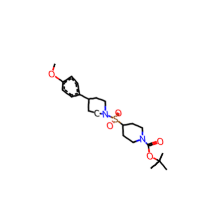 COc1ccc(C2CCN(S(=O)(=O)C3CCN(C(=O)OC(C)(C)C)CC3)CC2)cc1